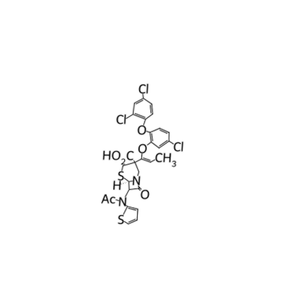 CC=C(Oc1cc(Cl)ccc1Oc1ccc(Cl)cc1Cl)C1(C(=O)O)CS[C@@H]2C(N(C(C)=O)c3cccs3)C(=O)N2C1